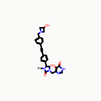 CC(C)N1C(=O)N(Cc2nc[nH]c(=O)c2O)CC1c1ccc(C#Cc2ccc(CN3CC(O)C3)cc2)cc1